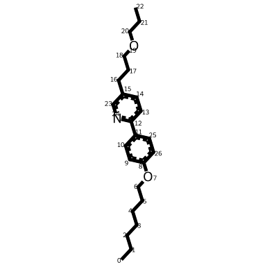 CCCCCCCOc1ccc(-c2ccc(CCCOCCC)cn2)cc1